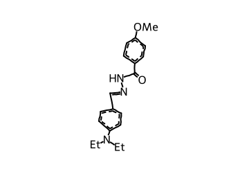 CCN(CC)c1ccc(C=NNC(=O)c2ccc(OC)cc2)cc1